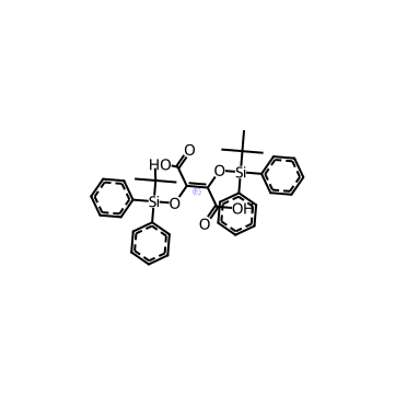 CC(C)(C)[Si](O/C(C(=O)O)=C(/O[Si](c1ccccc1)(c1ccccc1)C(C)(C)C)C(=O)O)(c1ccccc1)c1ccccc1